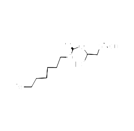 CCCCCCCCCCC(C)OC(=O)OCCCCCCBr